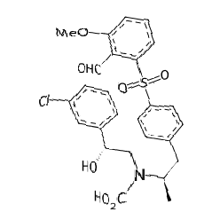 COc1cccc(S(=O)(=O)c2ccc(C[C@@H](C)N(C[C@H](O)c3cccc(Cl)c3)C(=O)O)cc2)c1C=O